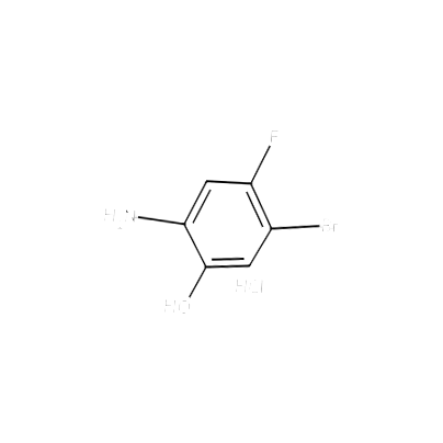 Cl.Nc1cc(F)c(Br)cc1O